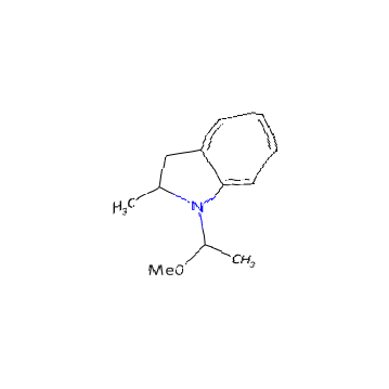 COC(C)N1c2ccccc2CC1C